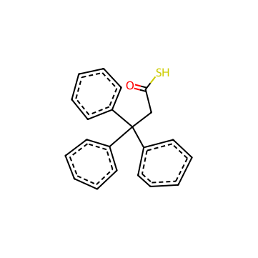 O=C(S)CC(c1ccccc1)(c1ccccc1)c1ccccc1